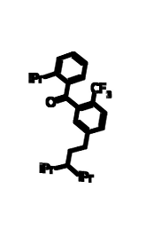 CC(C)c1ccccc1C(=O)c1cc(CCC(C(C)C)C(C)C)ccc1C(F)(F)F